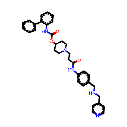 O=C(CCN1CCC(OC(=O)Nc2ccccc2-c2ccccc2)CC1)Nc1ccc(CNCc2ccncc2)cc1